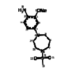 COc1cc(N2CCCN(S(C)(=O)=O)CC2)ccc1N